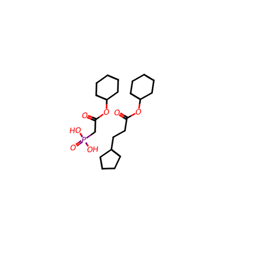 O=C(CCC1CCCC1)OC1CCCCC1.O=C(CP(=O)(O)O)OC1CCCCC1